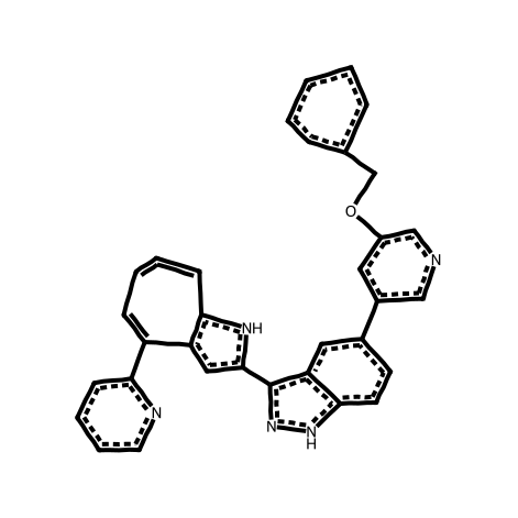 C1=CC=C(c2ccccn2)c2cc(-c3n[nH]c4ccc(-c5cncc(OCc6ccccc6)c5)cc34)[nH]c2C=1